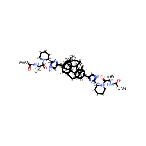 COC(=O)N[C@H](C(=O)N1CCCC[C@H]1c1nc(-c2ccc(-c3cc4ccc3CCc3ccc(c(-c5ccc(-c6c[nH]c([C@@H]7CCCCN7C(=O)[C@@H](NC(=O)OC)C(C)C)n6)cc5)c3)C[C@H]4C)cc2)c[nH]1)C(C)C